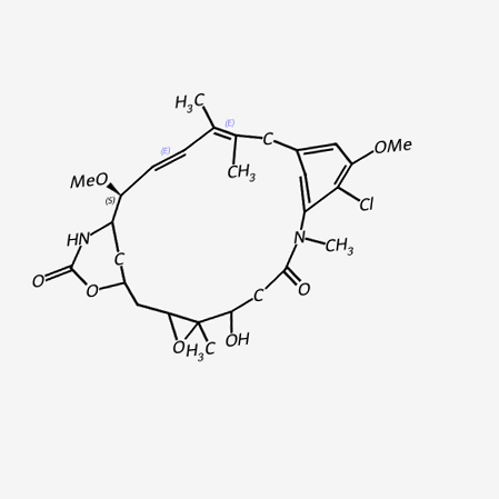 COc1cc2cc(c1Cl)N(C)C(=O)CC(O)C1(C)OC1CC1CC(NC(=O)O1)[C@@H](OC)/C=C/C(C)=C(\C)C2